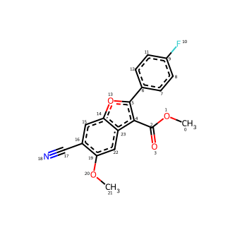 COC(=O)c1c(-c2ccc(F)cc2)oc2cc(C#N)c(OC)cc12